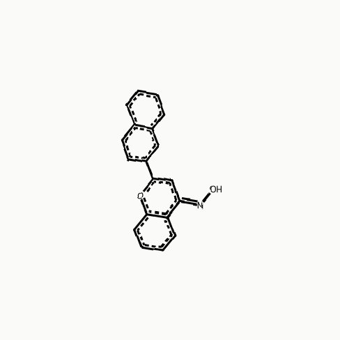 ON=c1cc(-c2ccc3ccccc3c2)oc2ccccc12